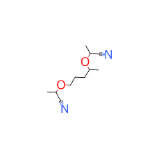 CC(C#N)OCCCC(C)OC(C)C#N